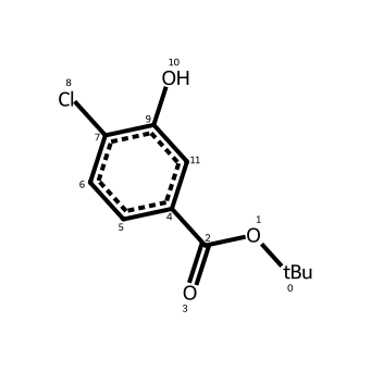 CC(C)(C)OC(=O)c1ccc(Cl)c(O)c1